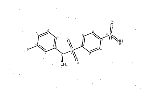 C[C@@H](c1cccc(F)c1)S(=O)(=O)c1ccc([SH](=N)=O)cc1